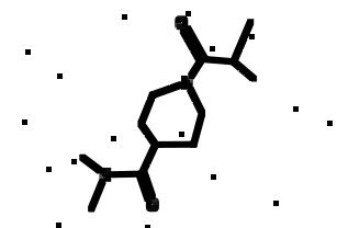 CC(C)C(=O)N1CCC(C(=O)N(C)C)CC1